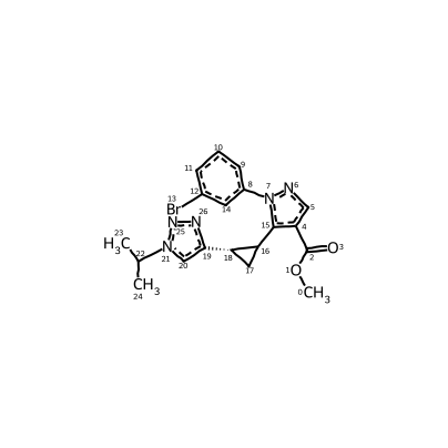 COC(=O)c1cnn(-c2cccc(Br)c2)c1C1C[C@@H]1c1cn(C(C)C)nn1